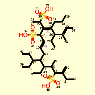 C=C(CC)C(C(C)C(CC)C(C/C=C/C(/C(=C(/CCC)C(CC)C(C)=CC)C(C)S(=O)(=O)O)S(=O)(=O)O)C(CC)CC)S(=O)(=O)O